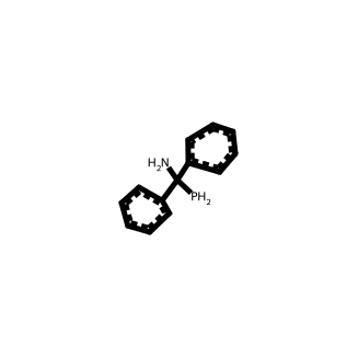 NC(P)(c1ccccc1)c1ccccc1